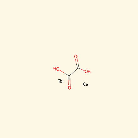 O=C(O)C(=O)O.[Ce].[Tb]